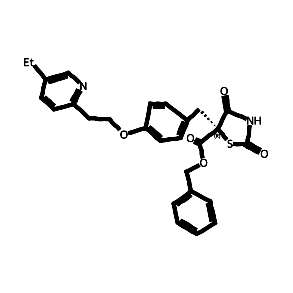 CCc1ccc(CCOc2ccc(C[C@@]3(C(=O)OCc4ccccc4)SC(=O)NC3=O)cc2)nc1